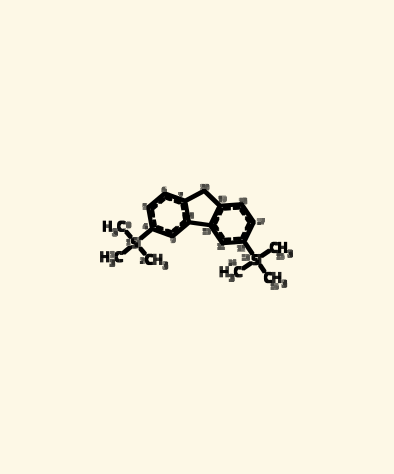 C[Si](C)(C)c1ccc2c(c1)-c1cc([Si](C)(C)C)ccc1C2